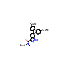 COc1ccc(C2(c3ccc(OC)cc3)C=Cc3c(C(=O)N(C)OC)n[nH]c3C2)cc1